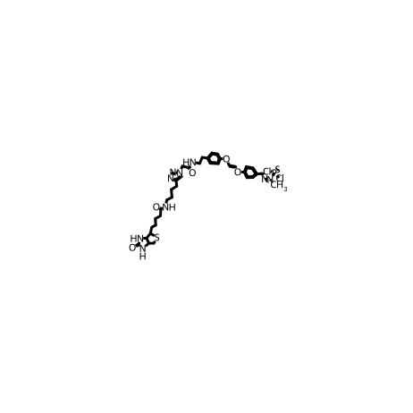 CN(/N=C/c1ccc(OC=COc2ccc(CCNC(=O)Cn3cc(CCCCNC(=O)CCCCC4SCC5NC(=O)NC54)nn3)cc2)cc1)P(=S)(Cl)Cl